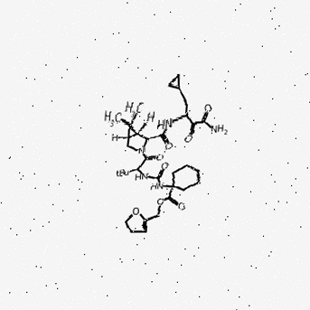 CC(C)(C)[C@H](NC(=O)NC1(C(=O)OCC2=CCCO2)CCCCC1)C(=O)N1C[C@H]2[C@@H]([C@H]1C(=O)NC(CC1CC1)C(=O)C(N)=O)C2(C)C